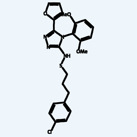 COc1cccc(OC)c1-n1c(NSCCCc2ccc(Cl)cc2)nnc1-c1ccco1